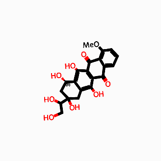 COc1cccc2c1C(=O)c1c(O)c3c(c(O)c1C2=O)CC(O)(C(O)CO)C[C@H]3O